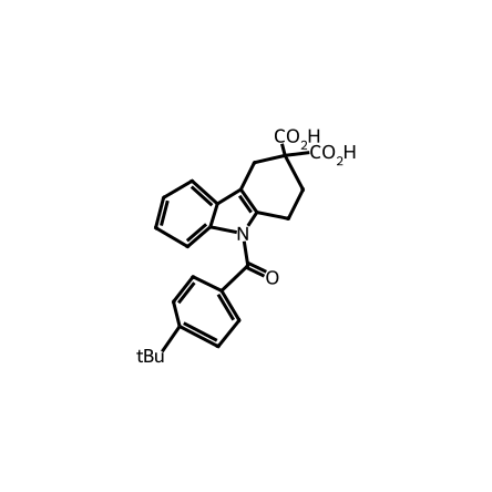 CC(C)(C)c1ccc(C(=O)n2c3c(c4ccccc42)CC(C(=O)O)(C(=O)O)CC3)cc1